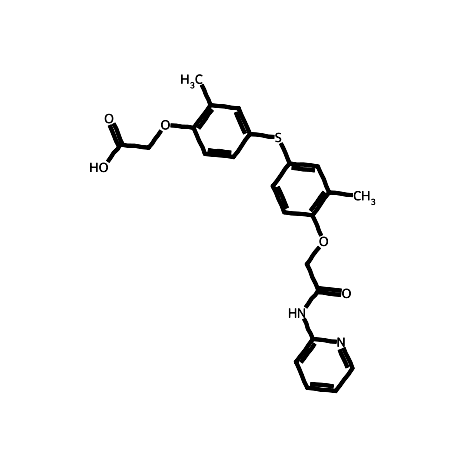 Cc1cc(Sc2ccc(OCC(=O)Nc3ccccn3)c(C)c2)ccc1OCC(=O)O